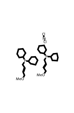 COCC=CCP(C1CCCCC1)C1CCCCC1.COCC=CCP(C1CCCCC1)C1CCCCC1.[Cl][Ni][Cl]